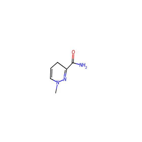 CN1C=CCC(C(N)=O)=N1